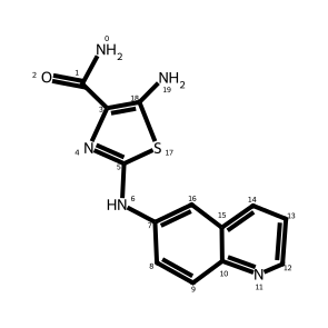 NC(=O)c1nc(Nc2ccc3ncccc3c2)sc1N